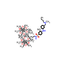 CCCC[Si](C)(C)O[Si](C)(C)O[Si](C)(C)O[Si](C)(C)O[Si](C)(C)O[Si](C)(C)O[Si](C)(C)O[Si](C)(C)O[Si](C)(C)O[Si](C)(C)O[Si](C)(C)O[Si](C)(C)O[Si](C)(C)CCCNS(=O)(=O)c1ccc(Nc2cccc(CN(C)CCCC(C)C)c2)c([N+](=O)[O-])c1